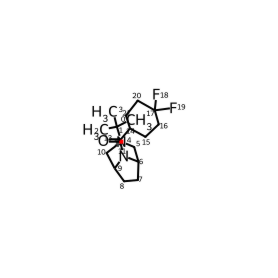 CC(C)(C)N1CC2CCC(C1)N2C(=O)C1CCC(F)(F)CC1